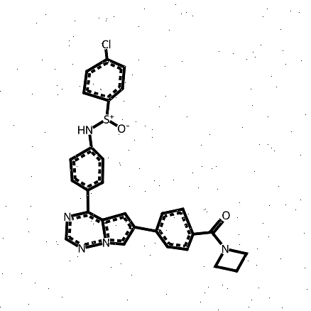 O=C(c1ccc(-c2cc3c(-c4ccc(N[S+]([O-])c5ccc(Cl)cc5)cc4)ncnn3c2)cc1)N1CCC1